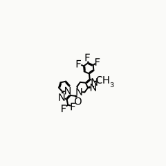 Cn1nc2c(c1-c1cc(F)c(F)c(F)c1)CCN(C(=O)c1c(C(F)F)nc3ccccn13)C2